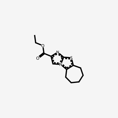 CCOC(=O)c1cn2c3c(sc2n1)CCCCC3